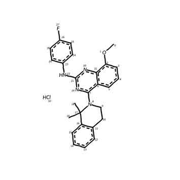 COc1cccc2c(N3CCc4ccccc4C3(C)C)nc(Nc3ccc(F)cc3)nc12.Cl